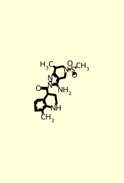 Cc1cccc2c1NCCC2C(=O)n1nc2c(c1N)CN(S(C)(=O)=O)CC2C